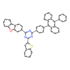 c1ccc(-c2c3ccccc3c(-c3ccc(-c4nc(-c5ccc6c(c5)oc5ccccc56)nc(-c5cc6ccccc6s5)n4)cc3)c3ccccc23)cc1